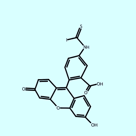 O=C(O)c1cc(NC(=S)I)ccc1-c1c2ccc(=O)cc-2oc2cc(O)ccc12